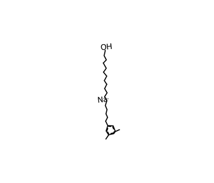 Cc1cc(C)cc(CCCCCCCCCCCCCCCCCCO)c1.[Na]